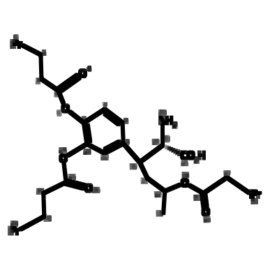 CC(C)CCC(=O)Oc1ccc(C(CC(C)OC(=O)CC(C)C)[C@H](N)C(=O)O)cc1OC(=O)CCC(C)C